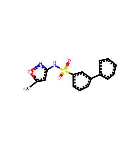 Cc1cc(NS(=O)(=O)c2cccc(-c3ccccc3)c2)no1